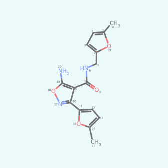 Cc1ccc(CNC(=O)c2c(-c3ccc(C)o3)noc2N)o1